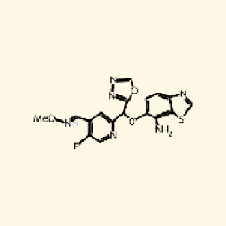 CO/N=C/c1cc(C(Oc2ccc3ncsc3c2N)c2nnco2)ncc1F